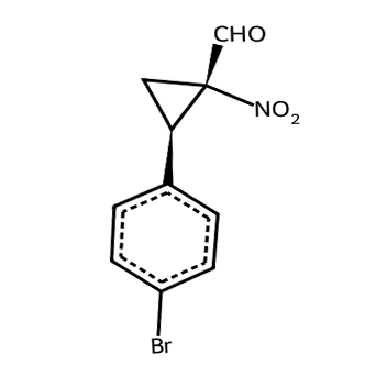 O=C[C@]1([N+](=O)[O-])C[C@@H]1c1ccc(Br)cc1